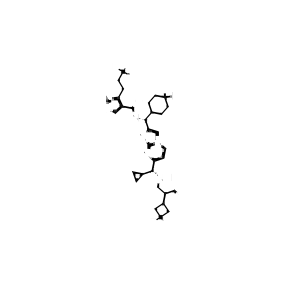 O=CC(CN[C@H](c1ccn2cc([C@@H](NC(=O)c3conc3CCC(F)(F)F)C3CCC(F)(F)CC3)nc2n1)C1CC1)C1CC(F)(F)C1